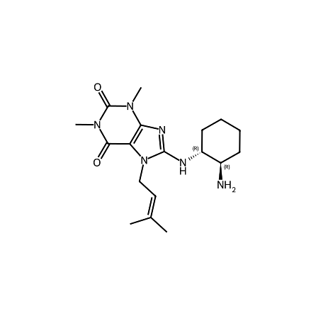 CC(C)=CCn1c(N[C@@H]2CCCC[C@H]2N)nc2c1c(=O)n(C)c(=O)n2C